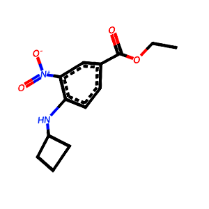 CCOC(=O)c1ccc(NC2CCC2)c([N+](=O)[O-])c1